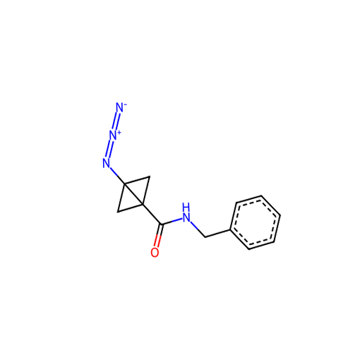 [N-]=[N+]=NC12CC1(C(=O)NCc1ccccc1)C2